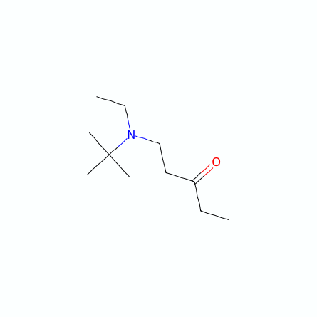 CCC(=O)CCN(CC)C(C)(C)C